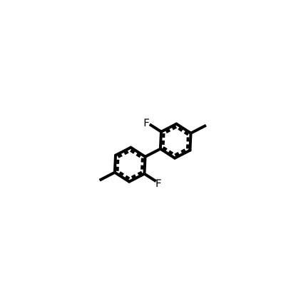 Cc1ccc(-c2ccc(C)cc2F)c(F)c1